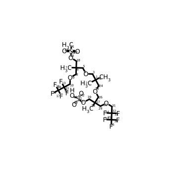 CC(C)(COCC(C)(COCC(F)(F)C(F)(F)F)COS(C)(=O)=O)COCC(C)(COCC(F)(F)C(F)(F)F)COS(=O)(=O)O